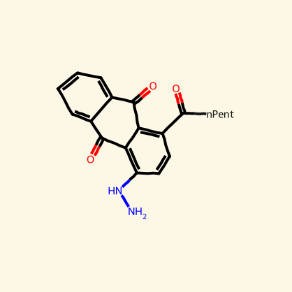 CCCCCC(=O)c1ccc(NN)c2c1C(=O)c1ccccc1C2=O